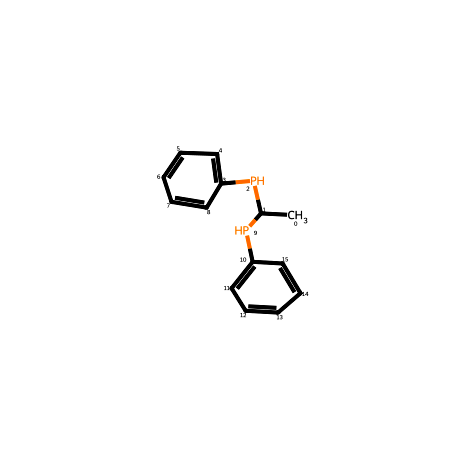 CC(Pc1ccccc1)Pc1ccccc1